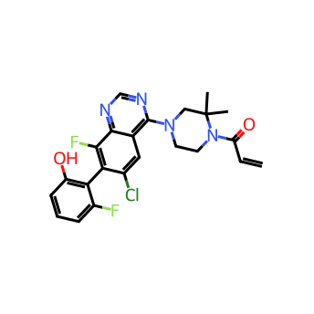 C=CC(=O)N1CCN(c2ncnc3c(F)c(-c4c(O)cccc4F)c(Cl)cc23)CC1(C)C